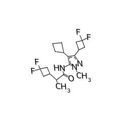 CC(C(=O)Nc1c(C2CCC2)c(C2CC(F)(F)C2)nn1C)C1CC(F)(F)C1